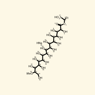 CCC(OC(=O)C(O)C(O)C(O)C(O)C(O)C(O)C(O)C(O)C(O)C(O)C(O)C(O)C(O)C(O)C(CO)OC)S(=O)(=O)O.[NaH]